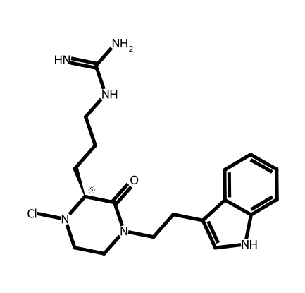 N=C(N)NCCC[C@H]1C(=O)N(CCc2c[nH]c3ccccc23)CCN1Cl